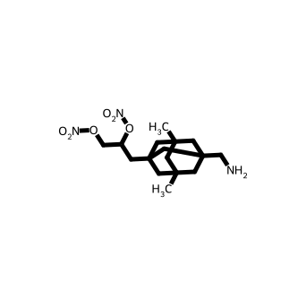 CC12CC3(C)CC(CN)(C1)CC(CC(CO[N+](=O)[O-])O[N+](=O)[O-])(C2)C3